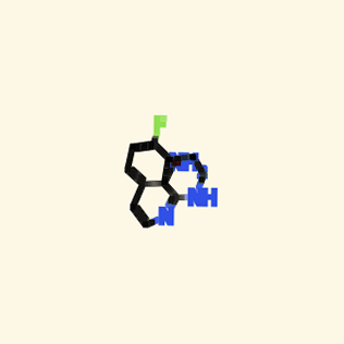 NC1C(F)=CC=C2C=CN=C3NCCCC231